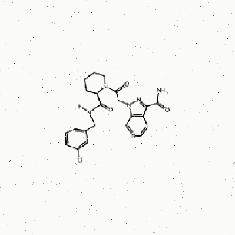 NC(=O)c1nn(CC(=O)N2CCCCC2C(=O)N(F)Cc2cccc(Cl)c2)c2cnccc12